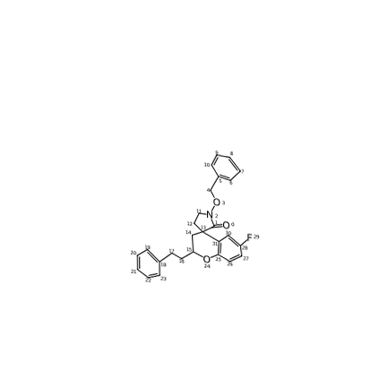 O=C1N(OCc2ccccc2)CCC12CC(CCc1ccccc1)Oc1ccc(F)cc12